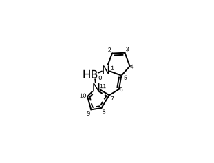 B1N2C=CCC2=Cc2cccn21